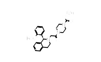 Cc1ccccc1C1c2ccccc2CCN1CC(=O)N1CCN(C(=O)OC(C)(C)C)CC1